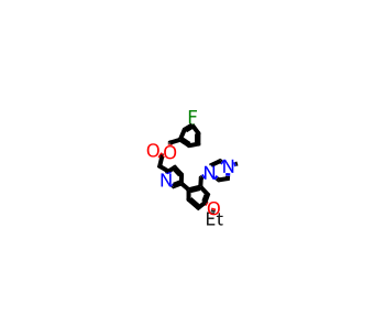 CCOc1ccc(-c2ccc(CC(=O)OCc3cccc(F)c3)nc2)c(CN2CCN(C)CC2)c1